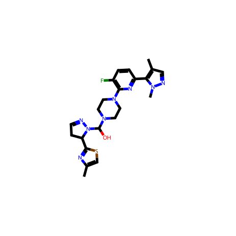 Cc1csc(C2CC=NN2C(O)N2CCN(c3nc(-c4c(C)cnn4C)ccc3F)CC2)n1